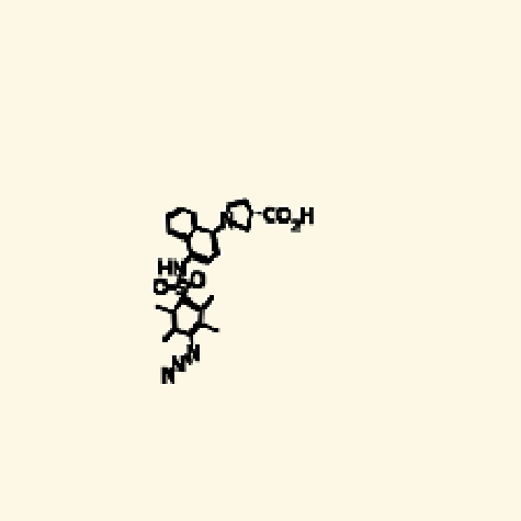 Cc1c(C)c(S(=O)(=O)Nc2ccc(N3CC[C@H](C(=O)O)C3)c3ccccc23)c(C)c(C)c1N=[N+]=[N-]